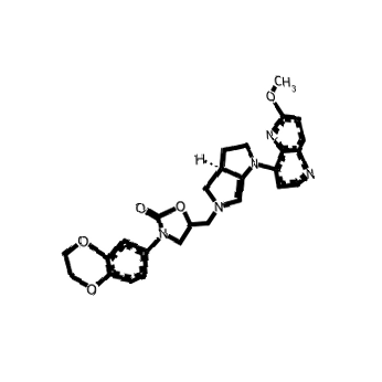 COc1ccc2nccc(N3CC[C@@H]4CN(CC5CN(c6ccc7c(c6)OCCO7)C(=O)O5)C=C43)c2n1